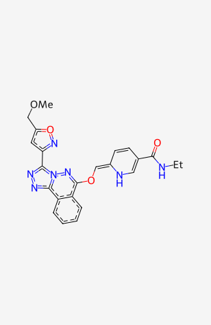 CCNC(=O)C1=CNC(=COc2nn3c(-c4cc(COC)on4)nnc3c3ccccc23)C=C1